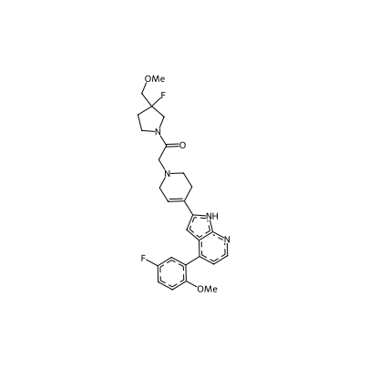 COCC1(F)CCN(C(=O)CN2CC=C(c3cc4c(-c5cc(F)ccc5OC)ccnc4[nH]3)CC2)C1